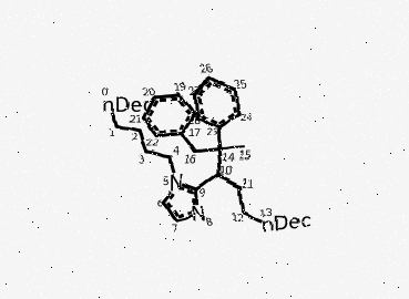 CCCCCCCCCCCCCCn1ccnc1C(CCCCCCCCCCCC)C(C)(Cc1ccccc1)c1ccccc1